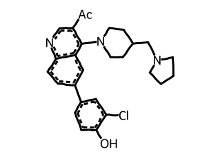 CC(=O)c1cnc2ccc(-c3ccc(O)c(Cl)c3)cc2c1N1CCC(CN2CCCC2)CC1